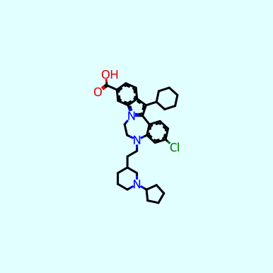 O=C(O)c1ccc2c(C3CCCCC3)c3n(c2c1)CCN(CCC1CCCN(C2CCCC2)C1)c1cc(Cl)ccc1-3